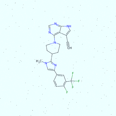 C#Cc1c[nH]c2ncnc(N3CCC(c4nc(-c5ccc(F)c(C(F)(F)F)c5)cn4C)CC3)c12